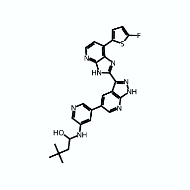 CC(C)(C)CC(O)Nc1cncc(-c2cnc3[nH]nc(-c4nc5c(-c6ccc(F)s6)ccnc5[nH]4)c3c2)c1